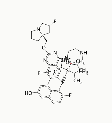 CC1CNCCN(c2nc(OC[C@@]34CCCN3C[C@H](F)C4)nc3c(F)c(-c4cc(O)cc5ccc(F)c(C#C[Si](C(C)C)(C(C)C)C(C)C)c45)c(F)cc23)C1